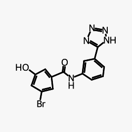 O=C(Nc1cccc(-c2nnn[nH]2)c1)c1cc(O)cc(Br)c1